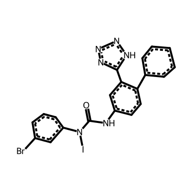 O=C(Nc1ccc(-c2ccccc2)c(-c2nnn[nH]2)c1)N(I)c1cccc(Br)c1